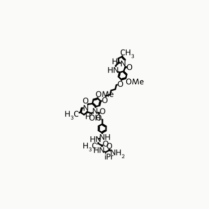 COc1cc2c(cc1OCCCCCOc1cc3c(cc1OC)C(=O)N1C=C(C)C[C@H]1[C@H](O)N3C(=O)OCc1ccc(NN[C@@H](C)C(=O)N[C@H](C(N)=O)C(C)C)cc1)NC[C@@H]1CC(C)=CN1C2=O